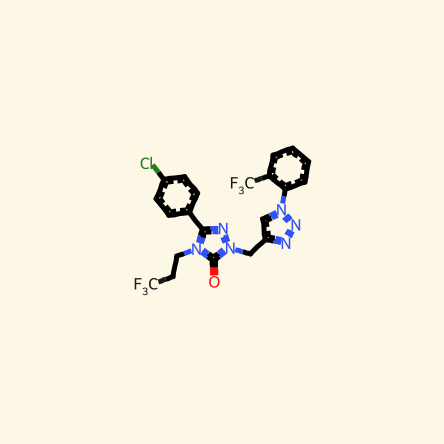 O=c1n(Cc2cn(-c3ccccc3C(F)(F)F)nn2)nc(-c2ccc(Cl)cc2)n1CCC(F)(F)F